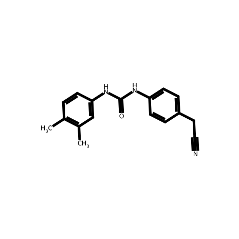 Cc1ccc(NC(=O)Nc2ccc(CC#N)cc2)cc1C